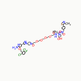 Cc1ncsc1-c1ccc(CNC(=O)[C@@H]2C[C@@H](O)CN2C(=O)[C@@H](NC(=O)CCOCCOCCOCCOCCC(=O)N2CCC(n3cc(-c4cnc(N)c(OCCc5c(Cl)ccc(F)c5Cl)c4)cn3)CC2)C(C)(C)C)cc1